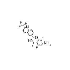 Cc1cc([C@@H](C)NC(=O)c2ccc3nc(C(F)(F)F)ccc3c2)c(F)cc1N